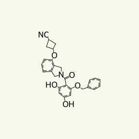 N#CC1CC(Oc2cccc3c2CN(C(=O)c2c(O)cc(O)cc2OCc2ccccc2)C3)C1